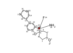 COC1CCC2(CC1)Oc1ccc(-c3cncnc3)cc1C21C=C(F)C(N)=N1